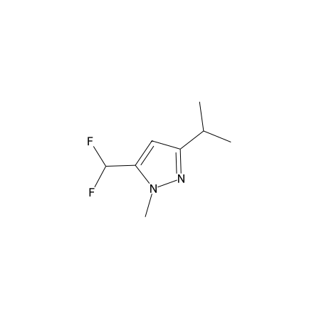 CC(C)c1cc(C(F)F)n(C)n1